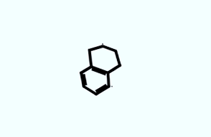 [c]1cccc2c1CC[CH]C2